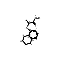 COC(=O)C(C)Oc1cccc2c1CCCC2